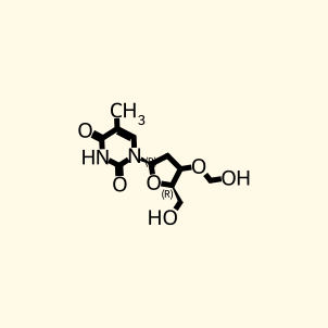 Cc1cn([C@H]2CC(OCO)[C@@H](CO)O2)c(=O)[nH]c1=O